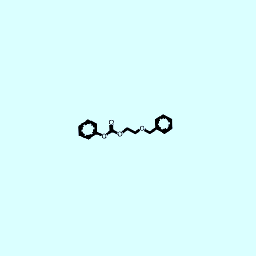 O=C(OCCOCc1ccccc1)Oc1ccccc1